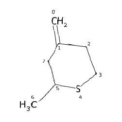 C=C1CCSC(C)C1